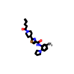 C=CCCC(=O)N1CCC(c2nc(C(=O)Nc3cc(C(F)(F)F)ccc3N3CCCC3)cs2)CC1